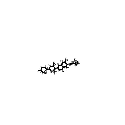 CC1CCC(c2cc(F)c(-c3ccc4c(F)c(C#CC(F)(F)F)c(F)cc4c3)c(F)c2)OC1